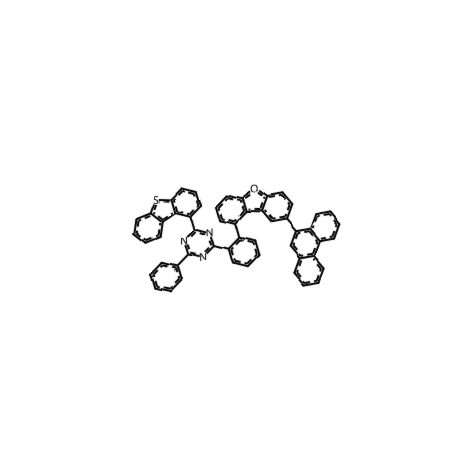 c1ccc(-c2nc(-c3ccccc3-c3cccc4oc5ccc(-c6cc7ccccc7c7ccccc67)cc5c34)nc(-c3cccc4sc5ccccc5c34)n2)cc1